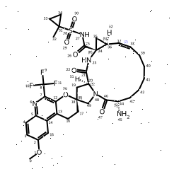 COc1ccc2nc(C(F)(F)F)c3c(c2c1)CC[C@]1(C[C@H]2C(=O)N[C@]4(C(=O)NS(=O)(=O)C5(C)CC5)C[C@H]4/C=C\CCCCC[C@H](N)C(=O)N2C1)O3